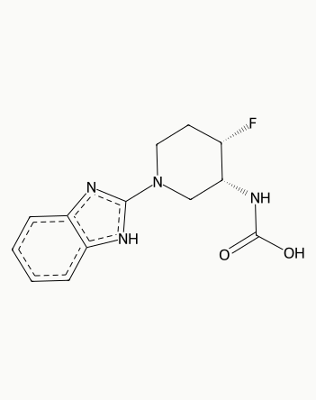 O=C(O)N[C@@H]1CN(c2nc3ccccc3[nH]2)CC[C@@H]1F